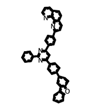 c1ccc(-c2nc(-c3ccc(-c4ccc5oc6ccccc6c5c4)cc3)cc(-c3ccc(-c4ccc5ccc6cccnc6c5n4)cc3)n2)cc1